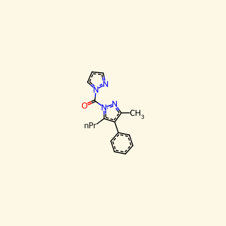 CCCc1c(-c2ccccc2)c(C)nn1C(=O)n1cccn1